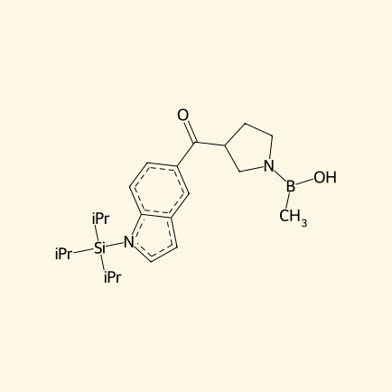 CB(O)N1CCC(C(=O)c2ccc3c(ccn3[Si](C(C)C)(C(C)C)C(C)C)c2)C1